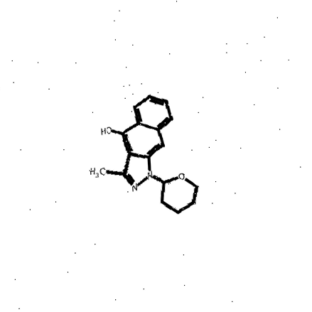 Cc1nn(C2CCCCO2)c2cc3ccccc3c(O)c12